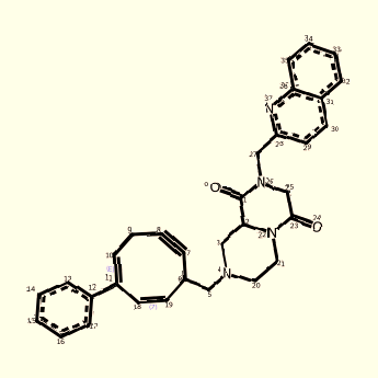 O=C1C2CN(CC3C#CC/C=C(c4ccccc4)\C=C/3)CCN2C(=O)CN1Cc1ccc2ccccc2n1